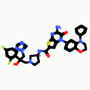 Nc1nc2sc(C(=O)N[C@H]3CCN(CC(O)(Cn4cncn4)c4ccc(F)cc4F)C3)cc2n(-c2ccc3c(c2)N(c2ccccc2)CCO3)c1=O